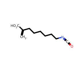 C=C(CCCCCCN=C=O)C(=O)O